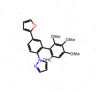 COc1cc(C=O)c(-c2cc(-c3ccco3)ccc2-n2cccn2)c(OC)c1OC